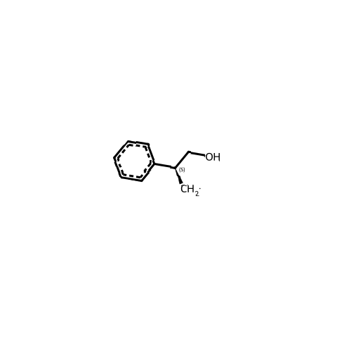 [CH2][C@H](CO)c1ccccc1